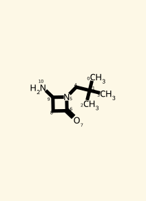 CC(C)(C)CN1C(=O)CC1N